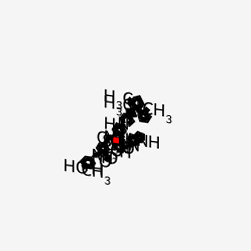 Cc1ccccc1[C@@H]1CCCC(C)(C)N1C1CC2(CCN(c3ccc(C(=O)NS(=O)(=O)c4ccc(NC[C@H]5CC[C@](C)(O)CC5)c([N+](=O)[O-])c4)c(N4c5cc6cc[nH]c6nc5O[C@H]5COCC[C@@H]54)c3)CC2)C1